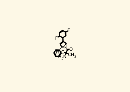 CC(C)(N)C(=O)N1CC(C2C=C(F)C=CC2F)=C[C@H]1c1ccccc1